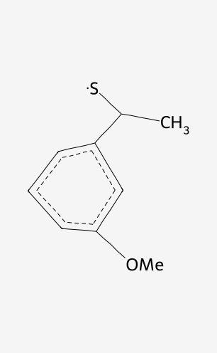 COc1cccc(C(C)[S])c1